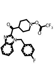 O=C(c1nc2ccccc2n1Cc1ccc(F)cc1)C1CCN(OC(=O)C(F)(F)F)CC1